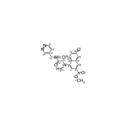 COC(=O)c1cc(N(C)CC(=O)NCc2ccnnc2)c2c(Cl)cc(Cl)cc2c1